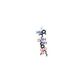 CCCCC(Oc1ccc2cc(C(=O)NCCc3c(C)[nH]c4c(F)ccc(C)c34)[nH]c2c1)C(=O)OCC